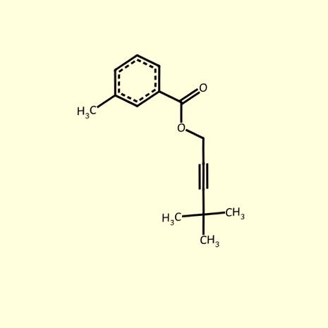 Cc1cccc(C(=O)OCC#CC(C)(C)C)c1